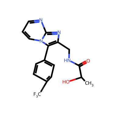 CC(O)C(=O)NCc1nc2ncccn2c1-c1ccc(C(F)(F)F)cc1